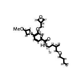 COC1CN(c2ccc(C(=O)N[C@@H](C)CC(C)COCCCF)nc2OCC2COC2)C1